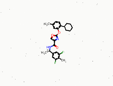 Cc1ccc(C2CCCCC2)c(Oc2nc(C(=O)N[C@H](C)c3cc(F)c(C)c(F)c3)co2)c1